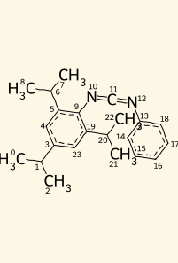 CC(C)c1cc(C(C)C)c(N=C=Nc2ccccc2)c(C(C)C)c1